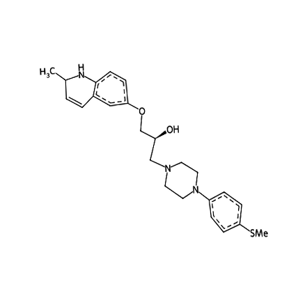 CSc1ccc(N2CCN(C[C@H](O)COc3ccc4c(c3)C=CC(C)N4)CC2)cc1